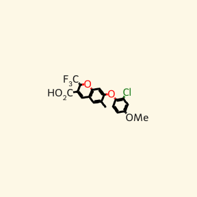 COc1ccc(Oc2cc3c(cc2C)C=C(C(=O)O)C(C(F)(F)F)O3)c(Cl)c1